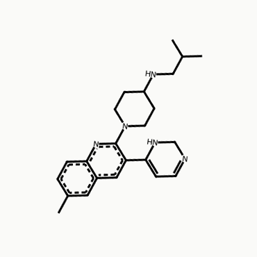 Cc1ccc2nc(N3CCC(NCC(C)C)CC3)c(C3=CC=NCN3)cc2c1